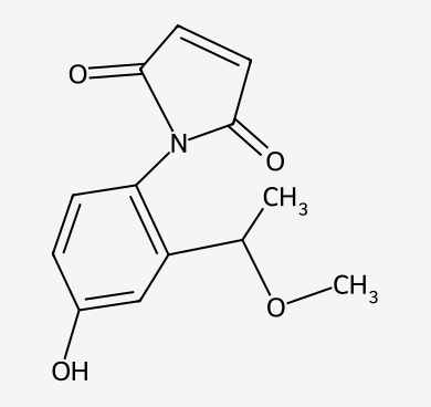 COC(C)c1cc(O)ccc1N1C(=O)C=CC1=O